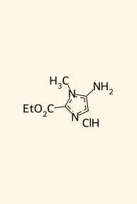 CCOC(=O)c1ncc(N)n1C.Cl